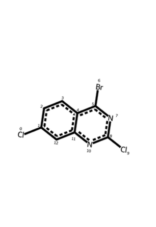 Clc1ccc2c(Br)nc(Cl)nc2c1